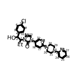 CCC(C(O)c1ccc(Cl)cc1)n1ncn(-c2ccc(N3CCN(c4ccccn4)CC3)nc2)c1=O